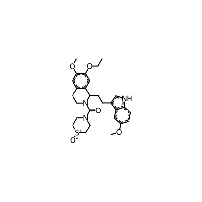 CCOc1cc2c(cc1OC)CCN(C(=O)N1CC[S+]([O-])CC1)C2CCc1c[nH]c2ccc(OC)cc12